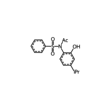 CC(=O)N(c1ccc(C(C)C)cc1O)S(=O)(=O)c1ccccc1